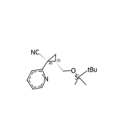 CC(C)(C)[Si](C)(C)OC[C@H]1C[C@]1(C#N)c1ccccn1